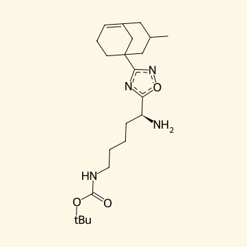 CC1CC2=CCCC(c3noc([C@@H](N)CCCCNC(=O)OC(C)(C)C)n3)(C2)C1